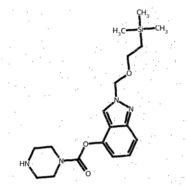 C[Si](C)(C)CCOCn1cc2c(OC(=O)N3CCNCC3)cccc2n1